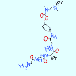 CC(C)C(NC(=O)CNC(=O)CN)C(=O)NCC(=O)Nc1ccc(COC(=O)N(C)CCN(C)C(C)C)cc1